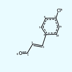 O=[C]/C=C/c1ccc(Cl)cc1